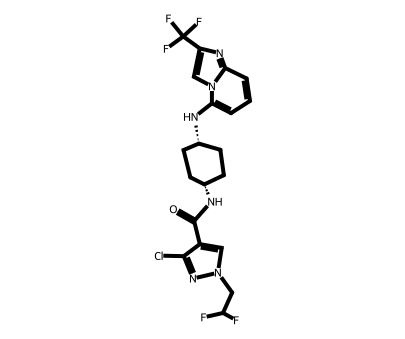 O=C(N[C@H]1CC[C@@H](Nc2cccc3nc(C(F)(F)F)cn23)CC1)c1cn(CC(F)F)nc1Cl